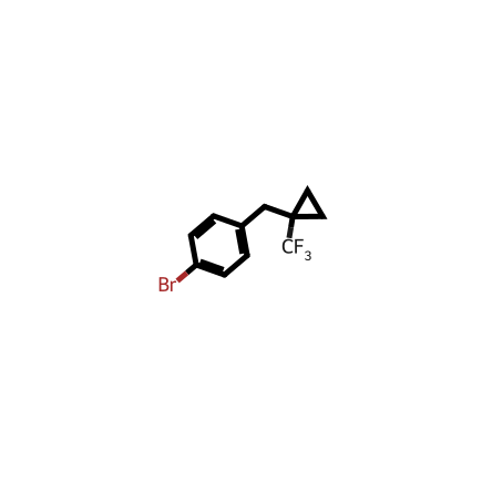 FC(F)(F)C1(Cc2ccc(Br)cc2)CC1